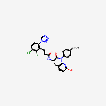 O=C(/C=C/c1c(-n2cnnn2)ccc(Cl)c1F)N[C@@H](Cc1ccc(O)nc1)C(=O)Nc1ccc(C(=O)O)cc1